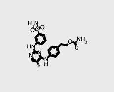 NC(=O)OCCc1ccc(Nc2nc(Nc3cccc(S(N)(=O)=O)c3)ncc2F)cc1